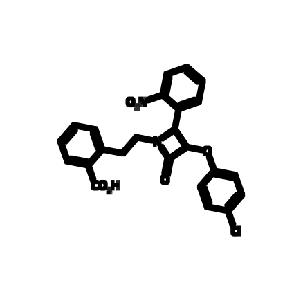 O=C(O)c1ccccc1CCN1C(=O)C(Oc2ccc(Cl)cc2)C1c1ccccc1[N+](=O)[O-]